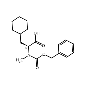 CN(C(=O)OCc1ccccc1)[C@@H](CC1CCCCC1)C(=O)O